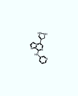 C1=C(c2cnc(Nc3cccnc3)c3nccn23)CNN1